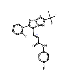 O=C(/C=C/c1c(-c2ccccc2Cl)nc2sc(C(F)(F)F)nn12)Nc1ccc(F)cc1